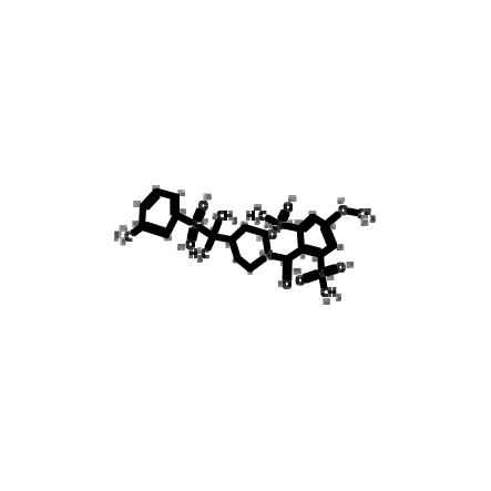 CC(C)(C1CCN(C(=O)c2c(S(C)(=O)=O)cc(OC(F)(F)F)cc2S(C)(=O)=O)CC1)S(=O)(=O)c1cccc(C(F)(F)F)c1